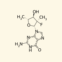 C[C@H]1O[C@@H](n2cnc3c(=O)[nH]c(N)nc32)[C@](C)(F)[C@@H]1O